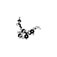 CCOc1cc(F)c(Cn2nc(-c3ncc(OCCCC(=O)N4CC(F)C4)c(Nc4ccnc(C)n4)n3)c3ccccc32)c(F)c1